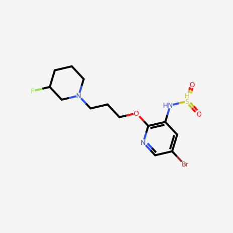 O=[SH](=O)Nc1cc(Br)cnc1OCCCN1CCCC(F)C1